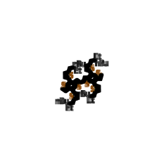 CCCCC(CC)Cc1ccc(-c2c3cc(-c4cc5c(-c6ccc(CC(CC)CCCC)s6)c6sccc6c(-c6ccc(CC(CC)CCCC)s6)c5s4)sc3c(-c3ccc(CC(CC)CCCC)s3)c3ccsc23)s1